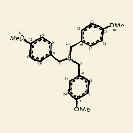 COc1ccc(CB(Cc2ccc(OC)cc2)Cc2ccc(OC)cc2)cc1